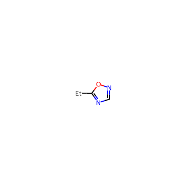 [CH2]Cc1ncno1